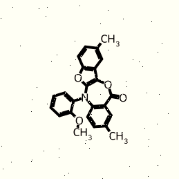 COc1ccccc1N1c2ccc(C)cc2C(=O)Oc2c1oc1ccc(C)cc21